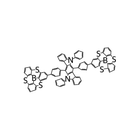 c1ccc(-n2c3ccccc3c3c(-c4ccc(-c5cc6c7c(c5)Sc5cccc8c5B7c5c(cccc5S6)S8)cc4)c4c(c(-c5ccc(-c6cc7c8c(c6)Sc6cccc9c6B8c6c(cccc6S7)S9)cc5)c32)c2ccccc2n4-c2ccccc2)cc1